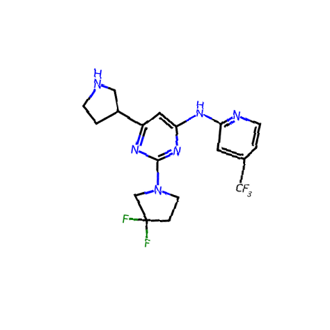 FC1(F)CCN(c2nc(Nc3cc(C(F)(F)F)ccn3)cc(C3CCNC3)n2)C1